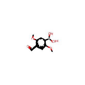 COc1cc(B(O)O)c(OC)cc1C=O